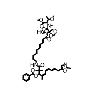 COC(=O)C(C(C)OC)N(C)C(=O)C1(N(O)C(=O)/C=C/C=C/C=C/C=C\CNC(=O)C(C)(C)C(OC(=O)c2ccccc2)\C(C)=C/C=C\C=C\Cc2cnc(C)o2)COCO1